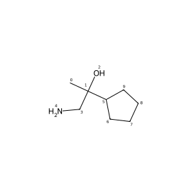 CC(O)(CN)C1CCCC1